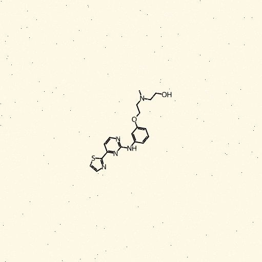 CN(CCO)CCOc1cccc(Nc2nccc(-c3nccs3)n2)c1